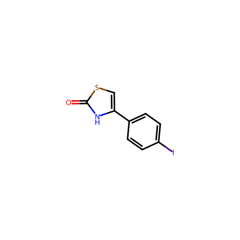 O=c1[nH]c(-c2ccc(I)cc2)cs1